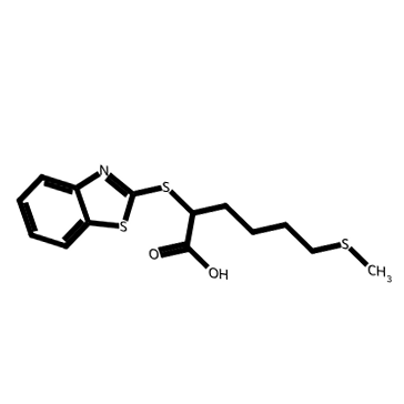 CSCCCCC(Sc1nc2ccccc2s1)C(=O)O